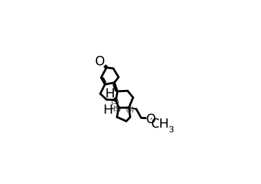 COCC[C@@]12CCC[C@H]1[C@@H]1CCC3=CC(=O)CCC3=C1CC2